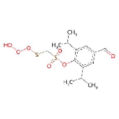 CC(C)c1cc(C=O)cc(C(C)C)c1OS(=O)(=O)CSOOO